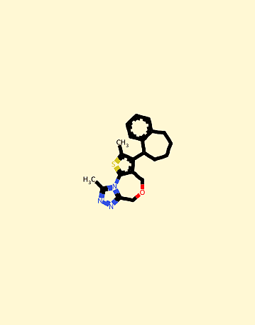 Cc1sc2c(c1C1CCCCc3ccccc31)COCc1nnc(C)n1-2